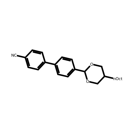 CCCCCCCCC1COC(c2ccc(-c3ccc(C#N)cc3)cc2)OC1